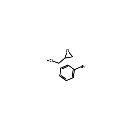 CC(C)c1ccccc1.OCC1CO1